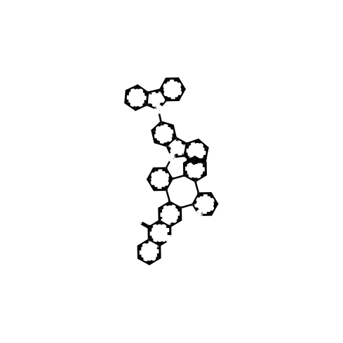 O=c1c2ccccc2oc2cc3c(cc12)-c1cccc(-n2c4ccccc4c4cc(-n5c6ccccc6c6ccccc65)ccc42)c1-c1ccccc1-c1cccnc1-3